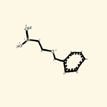 OB(O)CCOCc1ccccc1